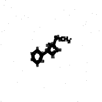 [CH2]Sc1nc(-c2ccccc2)cs1